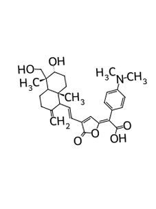 C=C1CCC2[C@](C)(CC[C@@H](O)[C@@]2(C)CO)C1/C=C/C1=CC(=C(/C(=O)O)c2ccc(N(C)C)cc2)/OC1=O